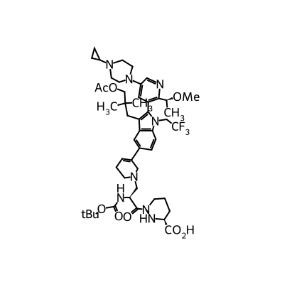 CO[C@@H](C)c1ncc(N2CCN(C3CC3)CC2)cc1-c1c(CC(C)(C)COC(C)=O)c2cc(C3=CCCN(C[C@H](NC(=O)OC(C)(C)C)C(=O)N4CCC[C@@H](C(=O)O)N4)C3)ccc2n1CC(F)(F)F